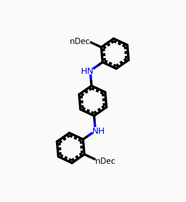 CCCCCCCCCCc1ccccc1Nc1ccc(Nc2ccccc2CCCCCCCCCC)cc1